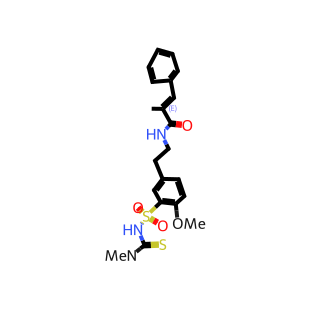 CNC(=S)NS(=O)(=O)c1cc(CCNC(=O)/C(C)=C/c2ccccc2)ccc1OC